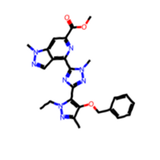 CCn1nc(C)c(OCc2ccccc2)c1-c1nc(-c2nc(C(=O)OC)cc3c2cnn3C)n(C)n1